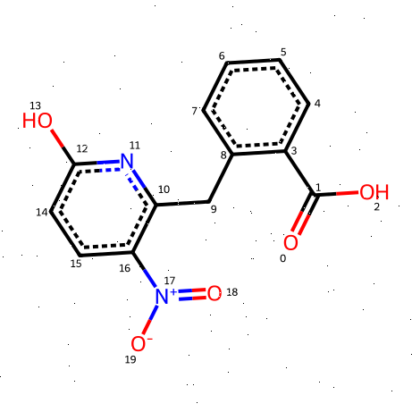 O=C(O)c1ccccc1Cc1nc(O)ccc1[N+](=O)[O-]